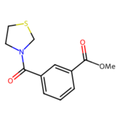 COC(=O)c1cccc(C(=O)N2CCSC2)c1